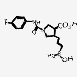 O=C(O)C1CN(C(=O)Nc2ccc(F)cc2)CC1CCCB(O)O